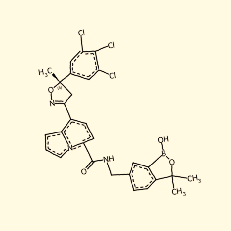 CC1(C)OB(O)c2cc(CNC(=O)c3ccc(C4=NO[C@](C)(c5cc(Cl)c(Cl)c(Cl)c5)C4)c4cccn34)ccc21